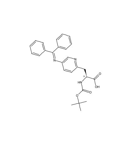 CC(C)(C)OC(=O)N[C@@H](Cc1ccc(N=C(c2ccccc2)c2ccccc2)cn1)C(=O)O